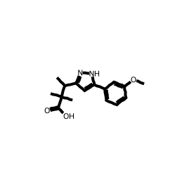 COc1cccc(-c2cc(C(C)C(C)(C)C(=O)O)n[nH]2)c1